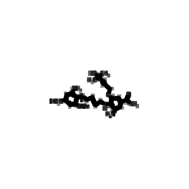 COc1cc(C(=O)O)cc(N)c1NCC=CCNc1c(N)cc(C(N)=O)cc1OCC#CC(C)(C)O